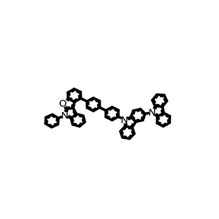 c1ccc(-n2c3ccccc3c3c4c(-c5ccc(-c6ccc(-n7c8ccccc8c8cc(-n9c%10ccccc%10c%10ccccc%109)ccc87)cc6)cc5)cccc4oc32)cc1